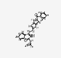 Cc1cccc(C)c1C(=O)N1CC2CN(CC[C@H](NC(=O)CN(C)C)c3ccccc3)CC2C1